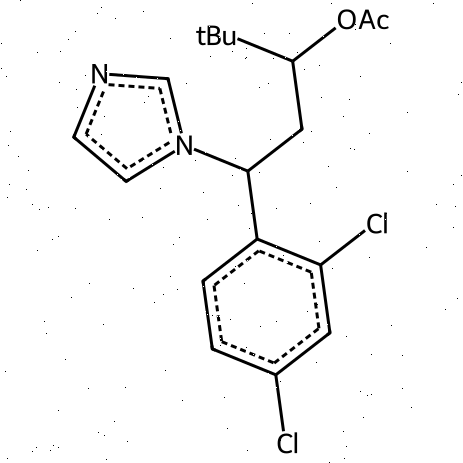 CC(=O)OC(CC(c1ccc(Cl)cc1Cl)n1ccnc1)C(C)(C)C